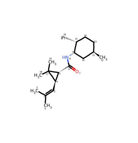 CC(C)=C[C@@H]1[C@@H](C(=O)N[C@H]2C[C@H](C)CC[C@H]2C(C)C)C1(C)C